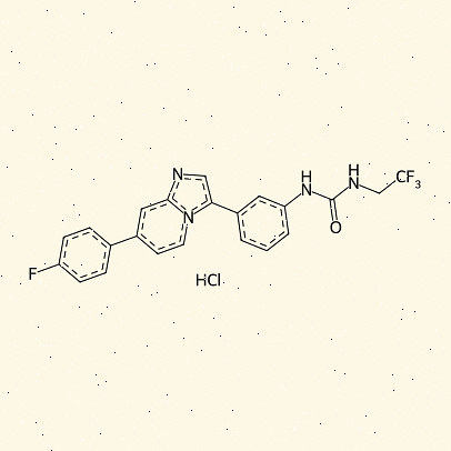 Cl.O=C(NCC(F)(F)F)Nc1cccc(-c2cnc3cc(-c4ccc(F)cc4)ccn23)c1